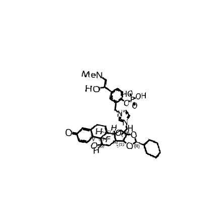 CNCC(O)c1ccc(OP(=O)(O)O)c(C[n+]2ccn(CC(=O)[C@@]34O[C@H](C5CCCCC5)O[C@@H]3C[C@H]3[C@@H]5CCC6=CC(=O)C=C[C@@]67O[C@@H](C[C@@]34C)[C@@]57F)c2)c1